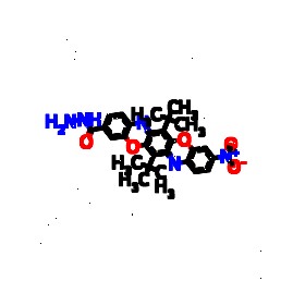 CC(C)(C)c1c2c(c(C(C)(C)C)c3c1=Nc1ccc(C(=O)NN)cc1O3)=Nc1ccc([N+](=O)[O-])cc1O2